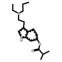 CCCN(CC)CCc1c[nH]c2cc(OC(=O)C(C)C)ccc12